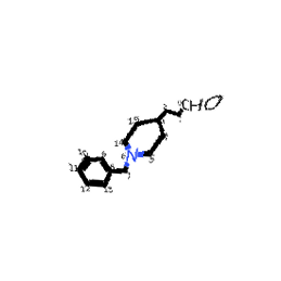 O=CCCC1CCN(Cc2ccccc2)CC1